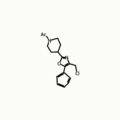 CC(=O)N1CCC(c2nc(CCl)c(-c3ccccc3)o2)CC1